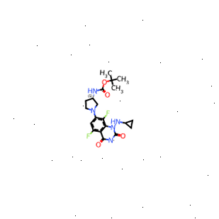 CC(C)(C)OC(=O)N[C@H]1CCN(c2cc(F)c3c(c2F)N(NC2CC2)C(=O)[N]C3=O)C1